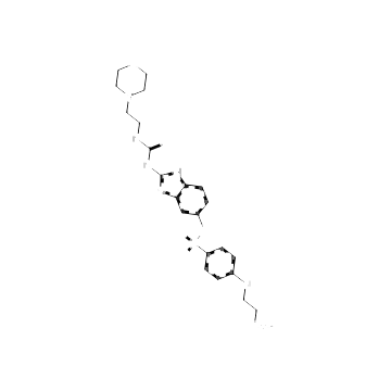 COCCNc1ccc(S(=O)(=O)Oc2ccc3[nH]c(NC(=O)NCCN4CCOCC4)nc3c2)cc1